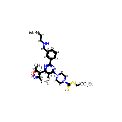 CCOC(=O)CSC(=S)N1CCN(c2nc(-c3cccc(CNCCNC)c3)nc(-c3c(C)noc3C)c2C)CC1